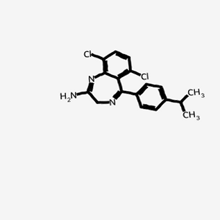 CC(C)c1ccc(C2=NCC(N)=Nc3c(Cl)ccc(Cl)c32)cc1